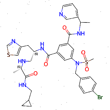 CC(NC(=O)c1cc(C(=O)N[C@H](CN[C@@H](C)C(=O)NCC2CC2)Cc2cscn2)cc(N(Cc2ccc(Br)cc2)S(C)(=O)=O)c1)c1cccnc1